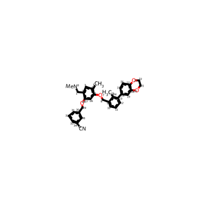 CNCc1cc(C)c(OCc2cccc(-c3ccc4c(c3)OCCO4)c2C)cc1OCc1cccc(C#N)c1